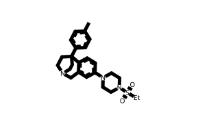 CCS(=O)(=O)N1CCN(c2ccc3c(c2)CN2CCC3(c3ccc(C)cc3)CC2)CC1